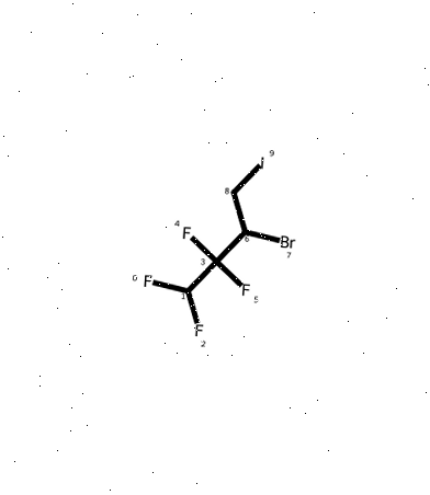 FC(F)C(F)(F)C(Br)CI